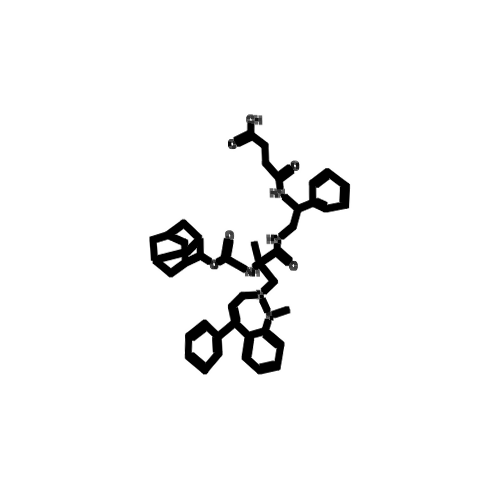 CN1c2ccccc2C(c2ccccc2)=CCN1CC(C)(NC(=O)OC1C2CC3CC(C2)CC1C3)C(=O)NCC(NC(=O)CCC(=O)O)c1ccccc1